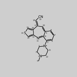 CN1CCN(c2cccc3c2=Nc2cscc2/C(=C/C#N)C=3)CC1